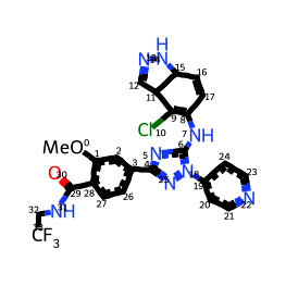 COc1cc(-c2nc(NC3=C(Cl)C4C=NNC4C=C3)n(-c3ccncc3)n2)ccc1C(=O)NCC(F)(F)F